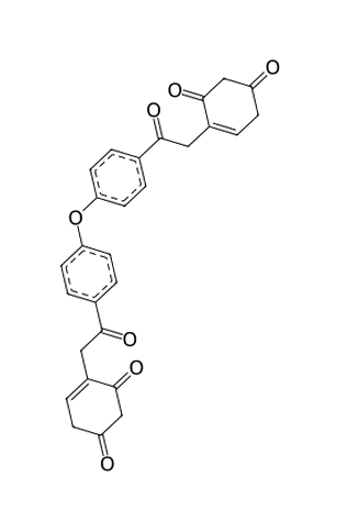 O=C1CC=C(CC(=O)c2ccc(Oc3ccc(C(=O)CC4=CCC(=O)CC4=O)cc3)cc2)C(=O)C1